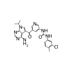 Cc1ccc(NC(=O)Nc2cncc(C(=O)c3cn(C(C)C)c4ncnc(N)c34)c2)cc1Cl